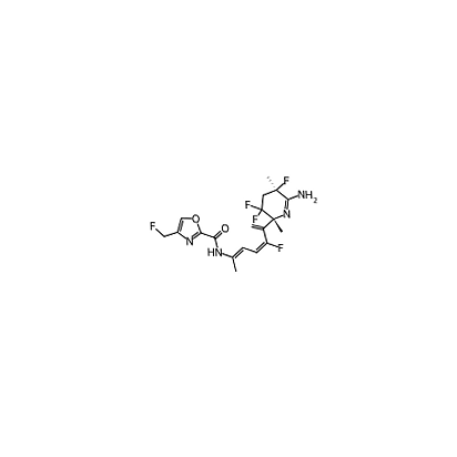 C=C(/C(F)=C\C=C(/C)NC(=O)c1nc(CF)co1)[C@@]1(C)N=C(N)[C@](C)(F)CC1(F)F